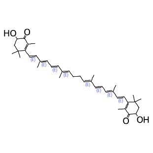 CC1=C(/C=C/C(C)=C/C=C/C(C)=C/CC/C=C(C)/C=C/C=C(C)/C=C/C2=C(C)C(=O)C(O)CC2(C)C)C(C)(C)CC(O)C1=O